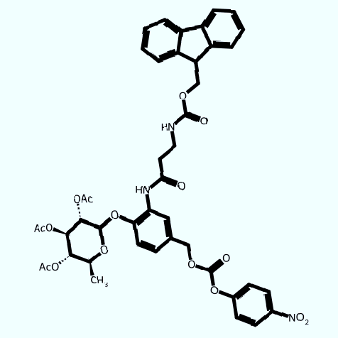 CC(=O)O[C@@H]1[C@@H](OC(C)=O)[C@H](OC(C)=O)C(Oc2ccc(COC(=O)Oc3ccc([N+](=O)[O-])cc3)cc2NC(=O)CCNC(=O)OCC2c3ccccc3-c3ccccc32)O[C@H]1C